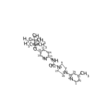 Cc1ccnc(N2CCN(C(=O)Nc3ccc(O[Si](C)(C)C(C)(C)C)cn3)CC2)c1